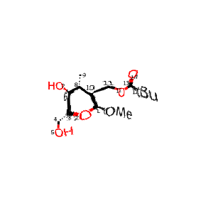 CO[C@H]1O[C@H](CO)[C@@H](O)[C@H](C)[C@H]1COC(=O)C(C)(C)C